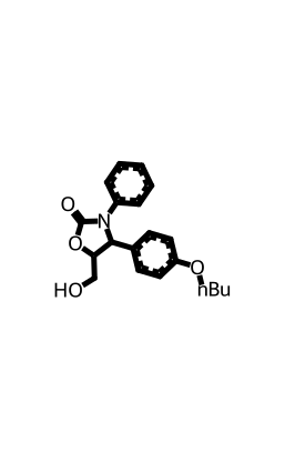 CCCCOc1ccc(C2C(CO)OC(=O)N2c2ccccc2)cc1